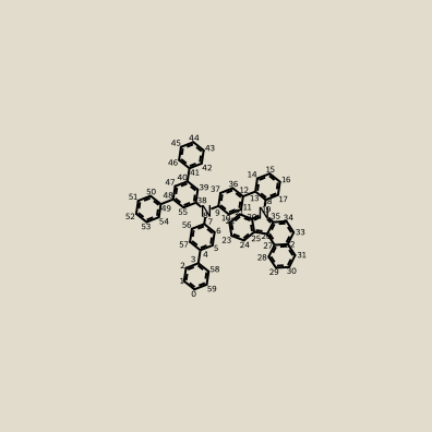 c1ccc(-c2ccc(N(c3ccc(-c4ccccc4-n4c5ccccc5c5c6ccccc6ccc54)cc3)c3cc(-c4ccccc4)cc(-c4ccccc4)c3)cc2)cc1